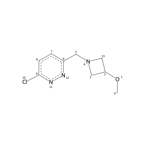 COC1CN(Cc2ccc(Cl)nn2)C1